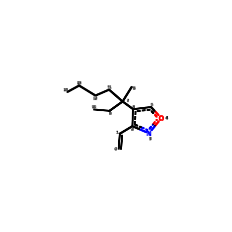 C=Cc1nocc1C(C)(CC)CCCC